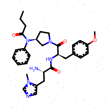 CCCC(=O)N(c1ccccc1)[C@H]1CCN(C(=O)[C@@H](Cc2ccc(OC)cc2)NC(=O)[C@@H](N)Cc2cncn2C)C1